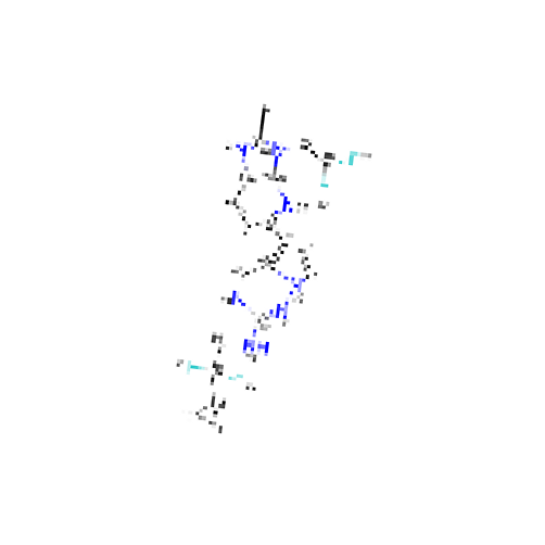 Cc1nc2ccc(-c3ccn4nc(NCC(F)(F)C5CC5)ncc34)nc2n1CC(F)F